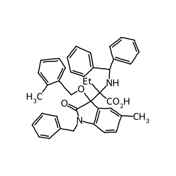 CCC(NC(c1ccccc1)c1ccccc1)(C(=O)O)C1(OCc2ccccc2C)C(=O)N(Cc2ccccc2)c2ccc(C)cc21